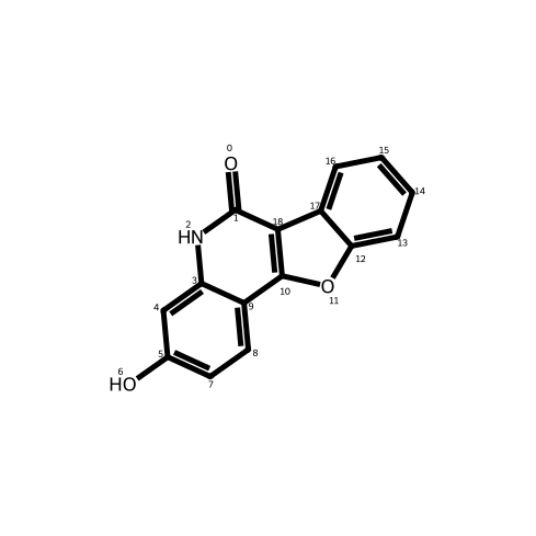 O=c1[nH]c2cc(O)ccc2c2oc3ccccc3c12